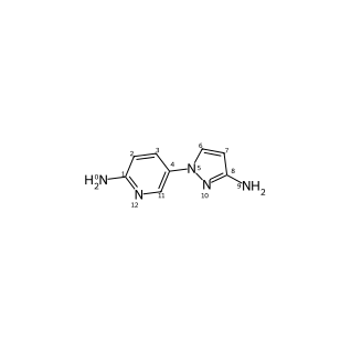 Nc1ccc(-n2ccc(N)n2)cn1